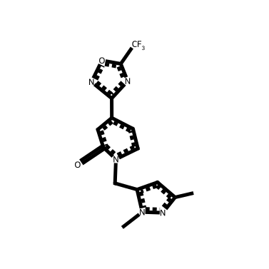 Cc1cc(Cn2ccc(-c3noc(C(F)(F)F)n3)cc2=O)n(C)n1